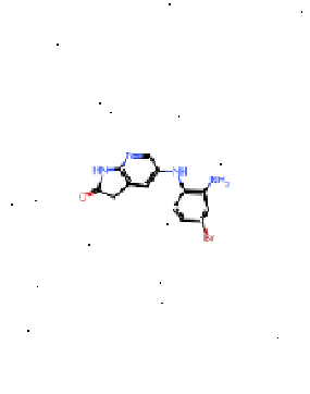 Nc1cc(Br)ccc1Nc1cnc2c(c1)CC(=O)N2